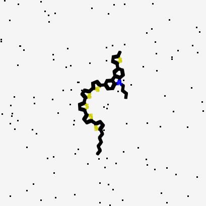 CCCCCCc1ccc(-c2ccc(-c3ccc(-c4ccc(-c5ccc(-c6ccc7c(c6)c6cc(-c8ccc(C)s8)ccc6n7CCCC)s5)s4)s3)s2)s1